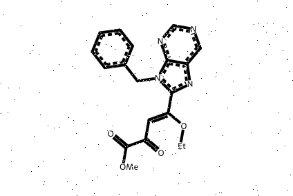 CCOC(=CC(=O)C(=O)OC)c1nc2cncnc2n1Cc1ccccc1